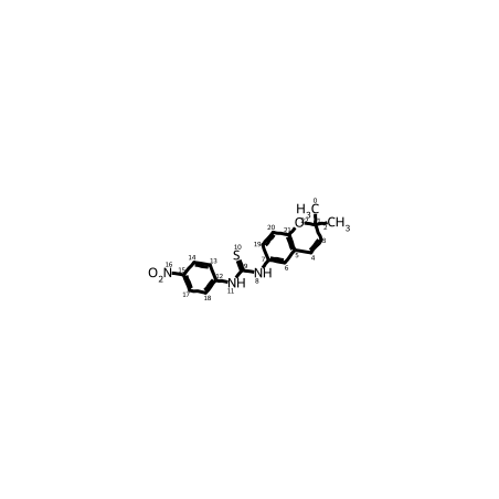 CC1(C)C=Cc2cc(NC(=S)Nc3ccc([N+](=O)[O-])cc3)ccc2O1